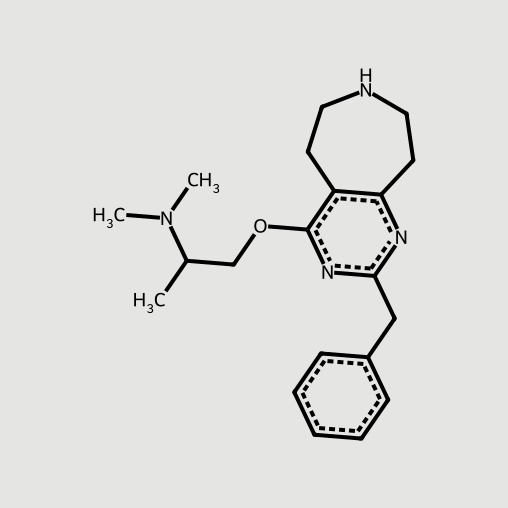 CC(COc1nc(Cc2ccccc2)nc2c1CCNCC2)N(C)C